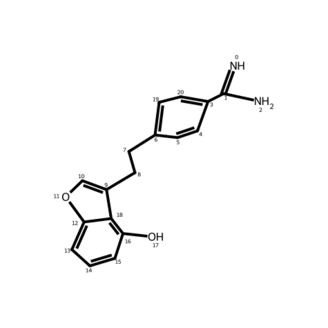 N=C(N)c1ccc(CCc2coc3cccc(O)c23)cc1